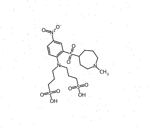 CN1CCCC(S(=O)(=O)c2cc([N+](=O)[O-])ccc2N(CCCS(=O)(=O)O)CCCS(=O)(=O)O)CC1